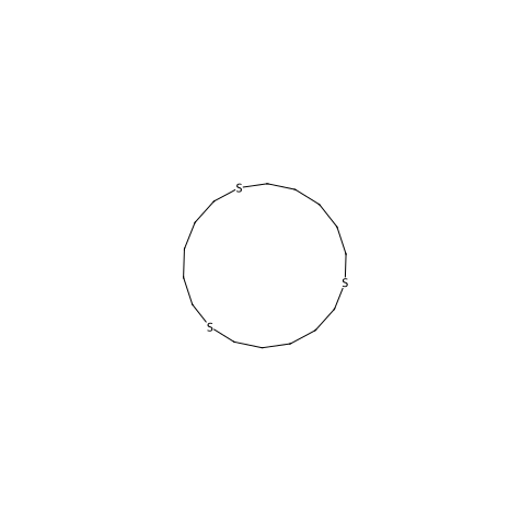 C1CCSCCCCCSCCCCCSCC1